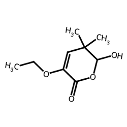 CCOC1=CC(C)(C)C(O)OC1=O